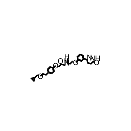 O=C1CCC(c2cccc(OCCNCC(O)COc3ccc(CCOCC4CC4)cc3)c2)=NN1